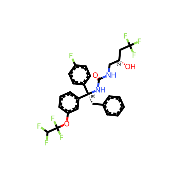 O=C(NC[C@@H](O)CC(F)(F)F)N[C@](Cc1ccccc1)(c1ccc(F)cc1)c1cccc(OC(F)(F)C(F)F)c1